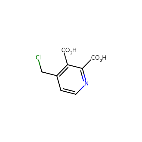 O=C(O)c1nccc(CCl)c1C(=O)O